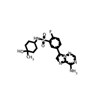 CC1(O)CCC(NS(=O)(=O)c2cc(-c3cnc4c(N)ncnn34)ccc2F)CC1